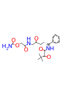 CC(C)(C)C(=O)C(=O)N[C@H](CCC(=O)CNC(=O)COC(N)=O)c1ccccc1